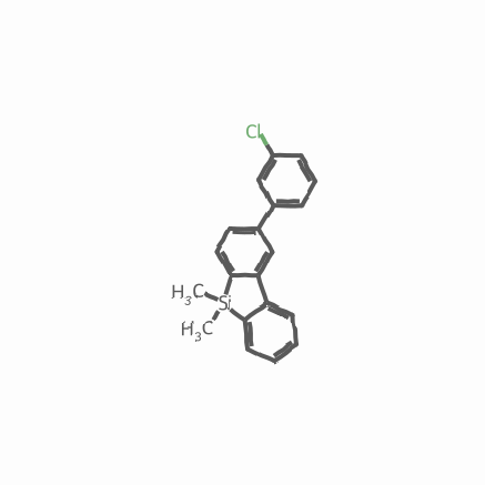 C[Si]1(C)c2ccccc2-c2cc(-c3cccc(Cl)c3)ccc21